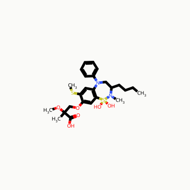 CCCCC1CN(c2ccccc2)c2cc(SC)c(OCC(C)(OC)C(=O)O)cc2S(O)(O)N1C